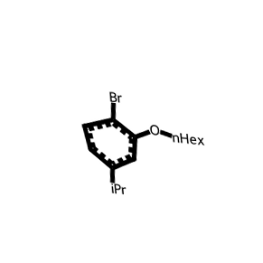 CCCCCCOc1cc(C(C)C)ccc1Br